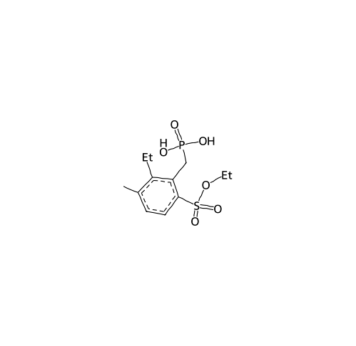 CCOS(=O)(=O)c1ccc(C)c(CC)c1CP(=O)(O)O